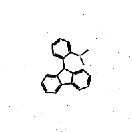 CN(C)c1ccccc1C1c2ccccc2-c2ccccc21